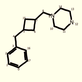 c1ccc(CC2CC(CN3CC[N]CC3)C2)cc1